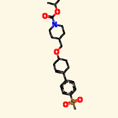 CC(C)OC(=O)N1CCC(COC2CC=C(c3ccc(S(C)(=O)=O)cc3)CC2)CC1